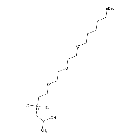 CCCCCCCCCCCCCCCOCCOCCOCC[PH](CC)(CC)CC(C)O